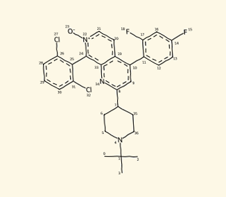 CC(C)(C)N1CCC(c2cc(-c3ccc(F)cc3F)c3cc[n+]([O-])c(-c4c(Cl)cccc4Cl)c3n2)CC1